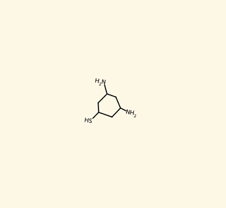 NC1CC(N)CC(S)C1